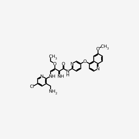 CCO/C(=C/Nc1ncc(Cl)cc1CN)C(=N)C(=O)Nc1ccc(Oc2ccnc3ccc(OC)cc23)cn1